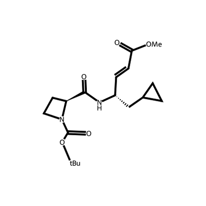 COC(=O)/C=C/[C@H](CC1CC1)NC(=O)[C@@H]1CCN1C(=O)OC(C)(C)C